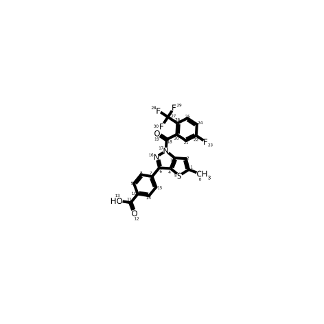 Cc1cc2c(s1)c(-c1ccc(C(=O)O)cc1)nn2C(=O)c1cc(F)ccc1C(F)(F)F